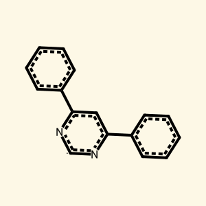 [c]1nc(-c2ccccc2)cc(-c2ccccc2)n1